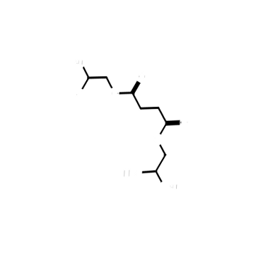 CC(COC(=O)CCC(=O)OCC(C)C(C)(C)C)C(C)(C)C